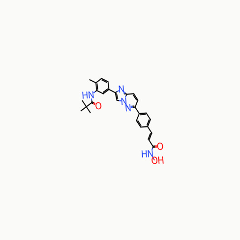 Cc1ccc(-c2cn3nc(-c4ccc(C=CC(=O)NO)cc4)ccc3n2)cc1NC(=O)C(C)(C)C